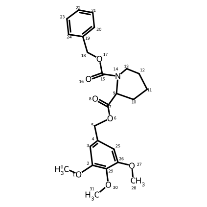 COc1cc(COC(=O)C2CCCCN2C(=O)OCc2ccccc2)cc(OC)c1OC